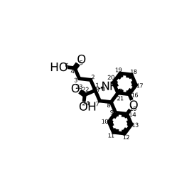 N[C@](CCC(=O)O)(CC1c2ccccc2Oc2ccccc21)C(=O)O